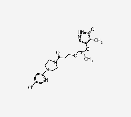 Cc1c(O[C@H](C)COCCC(=O)N2CCN(c3ccc(Cl)cn3)CC2)cn[nH]c1=O